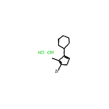 CC1=[C]([Zr])CC=C1C1CCCCC1.Cl.Cl